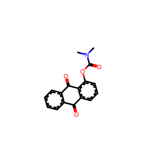 CN(C)C(=O)Oc1cccc2c1C(=O)c1ccccc1C2=O